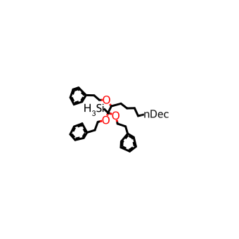 CCCCCCCCCCCCCCC(OCCc1ccccc1)C([SiH3])(OCCc1ccccc1)OCCc1ccccc1